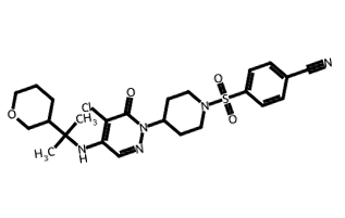 CC(C)(Nc1cnn(C2CCN(S(=O)(=O)c3ccc(C#N)cc3)CC2)c(=O)c1Cl)C1CCCOC1